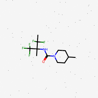 CC1CCN(C(=O)NC(C)(C(C)(F)F)C(F)(F)F)CC1